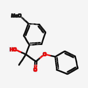 COc1cccc(C(C)(O)C(=O)Oc2ccccc2)c1